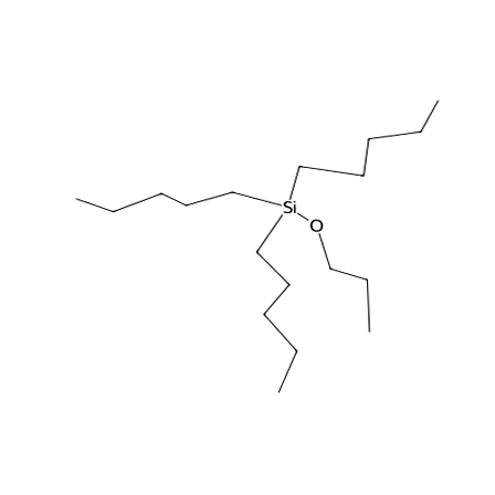 CCCCC[Si](CCCCC)(CCCCC)OCCC